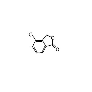 O=C1OCc2c(Cl)[c]ccc21